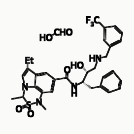 CCc1cn2c3c(cc(C(=O)N[C@@H](Cc4ccccc4)[C@H](O)CNCc4cccc(C(F)(F)F)c4)cc13)N(C)S(=O)(=O)C2C.O=CO